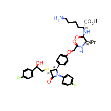 CC(C)[C@@H](NC(=O)COc1ccc([C@@H]2[C@@H](SCC(O)c3ccc(F)cc3)C(=O)N2c2ccc(F)cc2)cc1)C(=O)N[C@H](CCCCN)C(=O)O